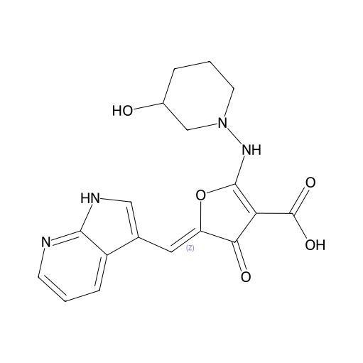 O=C(O)C1=C(NN2CCCC(O)C2)O/C(=C\c2c[nH]c3ncccc23)C1=O